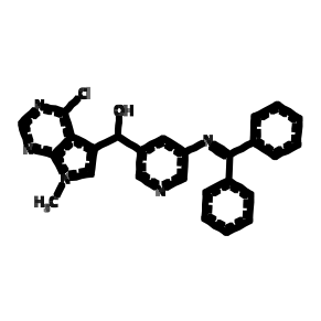 Cn1cc(C(O)c2cncc(N=C(c3ccccc3)c3ccccc3)c2)c2c(Cl)ncnc21